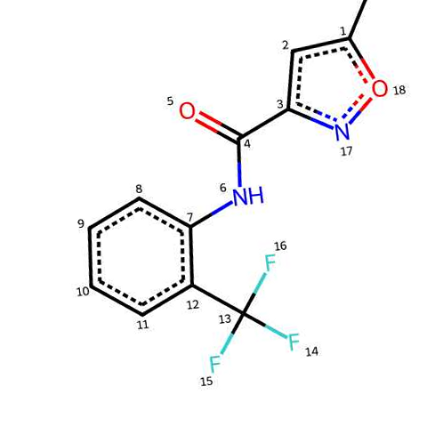 Cc1cc(C(=O)Nc2ccccc2C(F)(F)F)no1